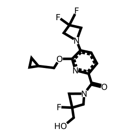 O=C(c1ccc(N2CC(F)(F)C2)c(OCC2CC2)n1)N1CC(F)(CO)C1